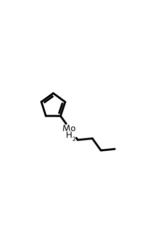 CCC[CH2][MoH2][C]1=CC=CC1